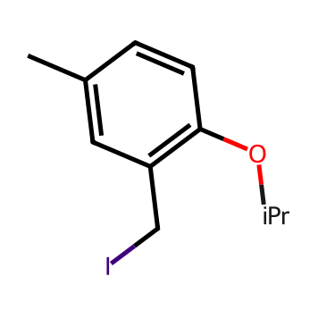 Cc1ccc(OC(C)C)c(CI)c1